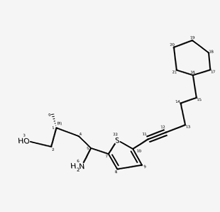 C[C@@H](CO)CC(N)c1ccc(C#CCCCC2CCCCC2)s1